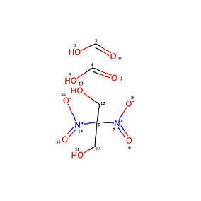 O=CO.O=CO.O=[N+]([O-])C(CO)(CO)[N+](=O)[O-]